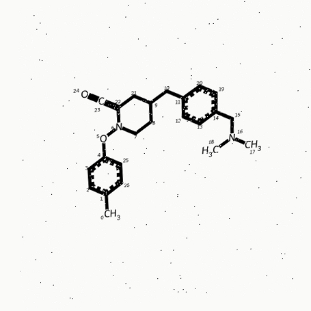 Cc1ccc(ON2CCC(Cc3ccc(CN(C)C)cc3)CC2=C=O)cc1